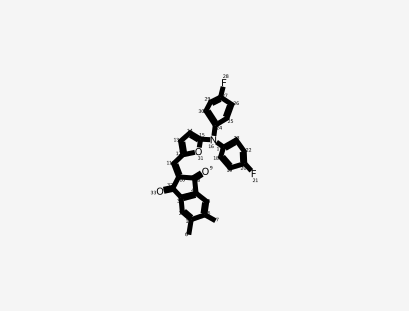 Cc1cc2c(cc1C)C(=O)C(=Cc1ccc(N(c3ccc(F)cc3)c3ccc(F)cc3)o1)C2=O